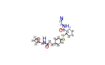 N#CCNC(=O)C1CCCCC1CSc1ccc(CCC(=O)NCc2ccco2)cc1